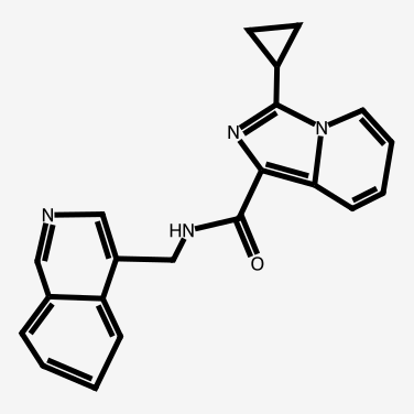 O=C(NCc1cncc2ccccc12)c1nc(C2CC2)n2ccccc12